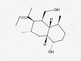 C/C=C(/C)[C@H]1[C@@H](CO)[C@H]2[C@@H](C[C@@H]1C)[C@@H](O)CC[C@@H]2C